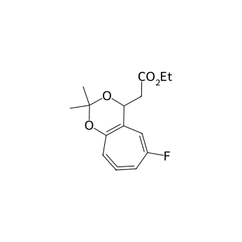 CCOC(=O)CC1OC(C)(C)OC2=C1C=C(F)C=C=C2